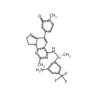 Cc1nc(N[C@H](C)c2cc(N)cc(C(F)(F)F)c2)c2c(n1)N1CCN=C1C(c1ccn(C)c(=O)c1)=C2